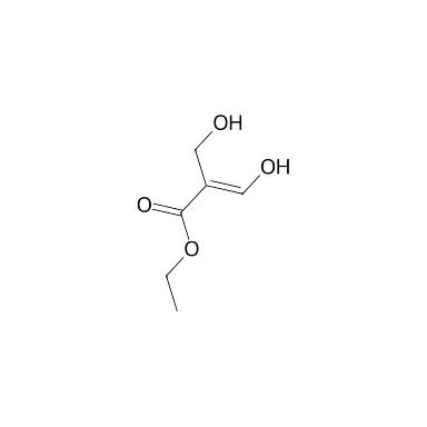 CCOC(=O)C(=CO)CO